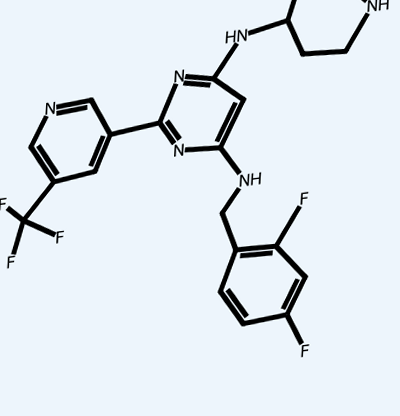 Fc1ccc(CNc2cc(NC3CCNCC3)nc(-c3cncc(C(F)(F)F)c3)n2)c(F)c1